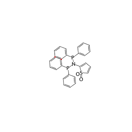 O=S1(=O)C=CC=C1N(P(c1ccccc1)c1ccccc1)P(c1ccccc1)c1ccccc1